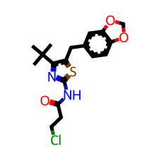 CC(C)(C)c1nc(NC(=O)CCCl)sc1Cc1ccc2c(c1)OCO2